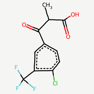 CC(C(=O)O)C(=O)c1ccc(Cl)c(C(F)(F)F)c1